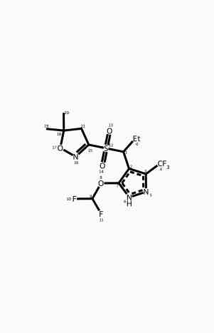 CCC(c1c(C(F)(F)F)n[nH]c1OC(F)F)S(=O)(=O)C1=NOC(C)(C)C1